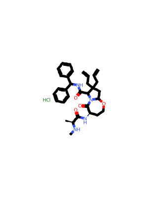 C=CCC1(CC=C)CC2OCC[C@H](NC(=O)[C@H](C)NC)C(=O)N2C1C(=O)NC(c1ccccc1)c1ccccc1.Cl